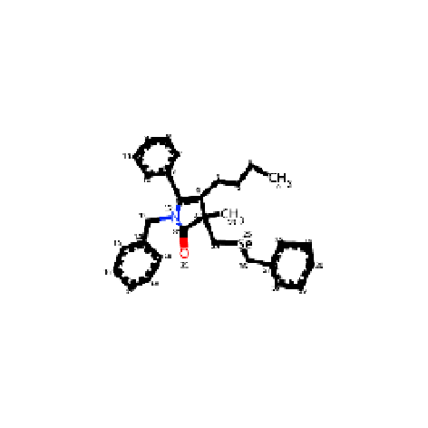 CCCCC1=C(c2ccccc2)N(Cc2ccccc2)C(=O)C1(C)C[Se]Cc1ccccc1